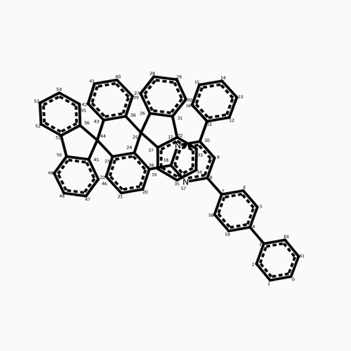 c1ccc(-c2ccc(-c3cc(-c4ccccc4)nc(-c4cccc5c4C4(c6ccccc6-c6ccccc64)c4ccccc4C54c5ccccc5-c5ccccc54)n3)cc2)cc1